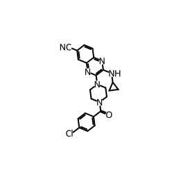 N#Cc1ccc2nc(NC3CC3)c(N3CCN(C(=O)c4ccc(Cl)cc4)CC3)nc2c1